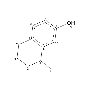 CC1CCCc2ccc(O)cc21